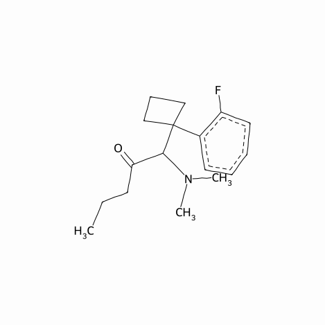 CCCC(=O)C(N(C)C)C1(c2ccccc2F)CCC1